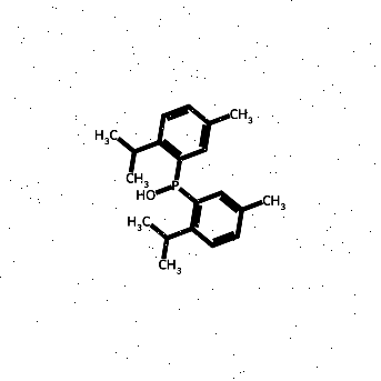 Cc1ccc(C(C)C)c(P(O)c2cc(C)ccc2C(C)C)c1